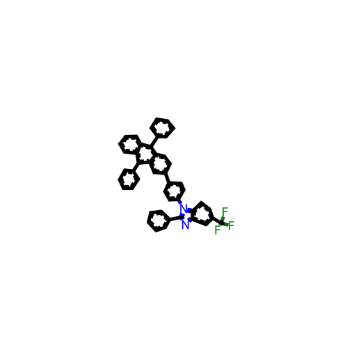 FC(F)(F)c1ccc2c(c1)nc(-c1ccccc1)n2-c1ccc(-c2ccc3c(-c4ccccc4)c4ccccc4c(-c4ccccc4)c3c2)cc1